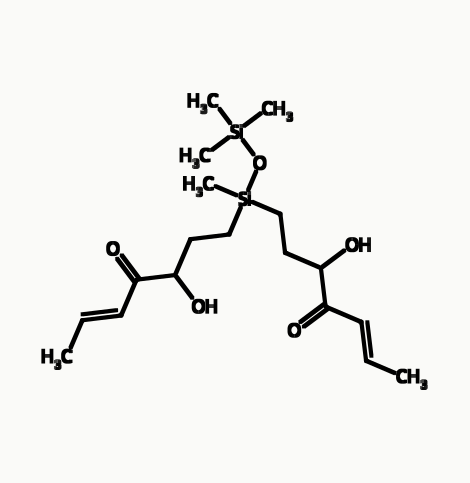 CC=CC(=O)C(O)CC[Si](C)(CCC(O)C(=O)C=CC)O[Si](C)(C)C